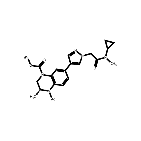 CC(=O)N1c2ccc(-c3cnn(CC(=O)N(C)C4CC4)c3)cc2N(C(=O)OC(C)C)C[C@@H]1C